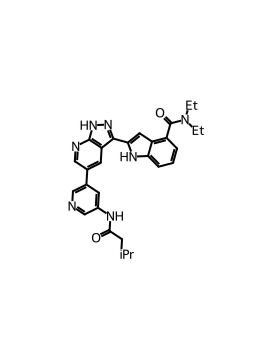 CCN(CC)C(=O)c1cccc2[nH]c(-c3n[nH]c4ncc(-c5cncc(NC(=O)CC(C)C)c5)cc34)cc12